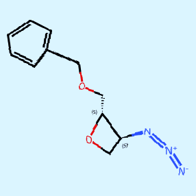 [N-]=[N+]=N[C@H]1CO[C@@H]1COCc1ccccc1